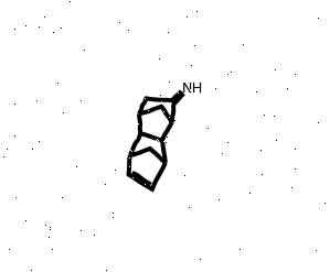 N=C1CC2CC1C1C3C=CC(C3)C21